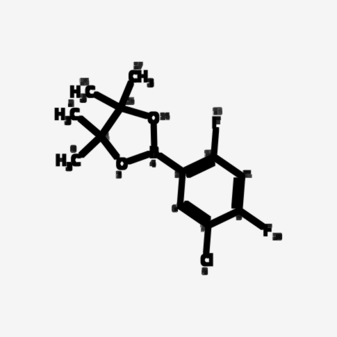 CC1(C)OB(c2cc(Cl)c(F)cc2F)OC1(C)C